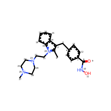 Cc1c(Cc2ccc(C(=O)NO)cc2)c2ccccc2n1CCN1CCN(C)CC1